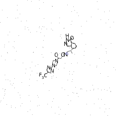 CC(/C=N/OCC(=O)N1CCN(c2ncc(C(F)(F)F)cn2)CC1)c1cccc2c(=O)[nH]ncc12